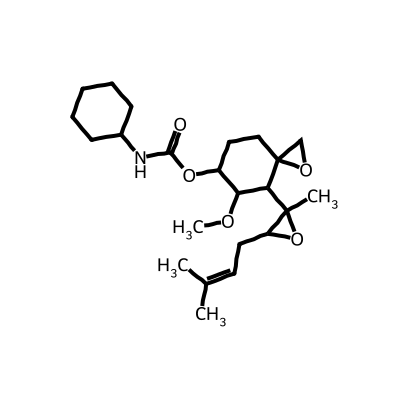 COC1C(OC(=O)NC2CCCCC2)CCC2(CO2)C1C1(C)OC1CC=C(C)C